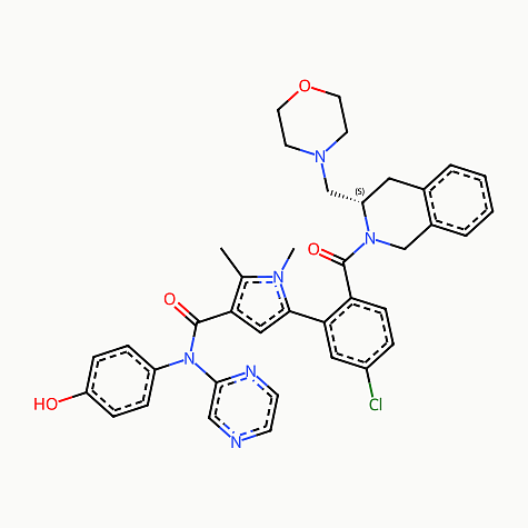 Cc1c(C(=O)N(c2ccc(O)cc2)c2cnccn2)cc(-c2cc(Cl)ccc2C(=O)N2Cc3ccccc3C[C@H]2CN2CCOCC2)n1C